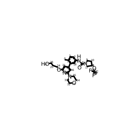 Cc1ccc(NC(=O)N2CC[C@H](OC(F)(F)F)C2)cc1-c1cc(OCCCO)nc(N2CCOCC2)c1